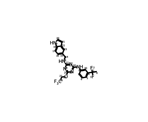 CC(F)(F)c1cccc(Nc2nc(NCc3ccc4[nH]ccc4c3)nc(OCC(F)(F)F)n2)c1